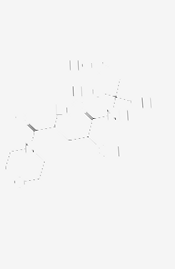 CCC(CC(C)C(=O)NC(C)(C)CS(=O)(=O)O)C(=O)N1CCOCC1